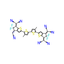 Cc1cc(-c2cc(C)c(-c3cc4c(s3)C(=C(C#N)C#N)C(F)(F)/C4=C/C#N)s2)sc1-c1cc2c(s1)C(=C(C#N)C#N)C(F)(F)C2=C(C#N)C#N